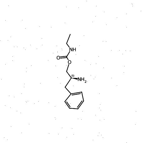 CCNC(=O)OC[C@@H](N)Cc1ccccc1